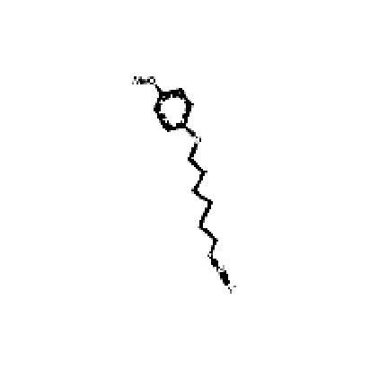 COc1ccc(OCCCCCCN=[N+]=[N-])cc1